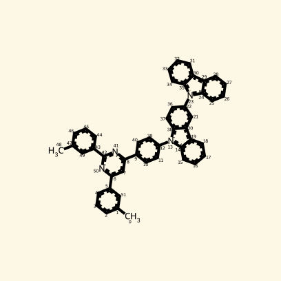 Cc1cccc(-c2cc(-c3ccc(-n4c5ccccc5c5cc(-n6c7ccccc7c7ccccc76)ccc54)cc3)nc(-c3cccc(C)c3)n2)c1